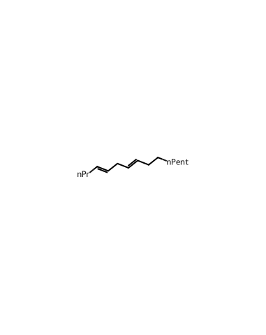 CCCC=CCC=CCCCCCCC